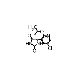 CC1C[C@@]2(NC(=O)NC2=O)c2cc(Cl)cnc2O1